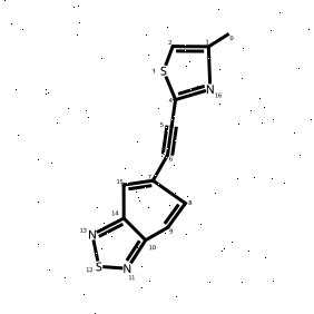 Cc1csc(C#Cc2ccc3nsnc3c2)n1